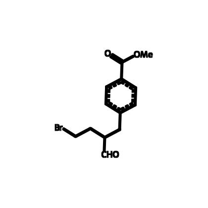 COC(=O)c1ccc(CC(C=O)CCBr)cc1